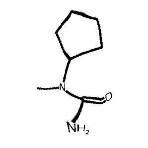 CN(C(N)=O)C1CCCC1